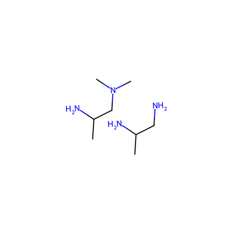 CC(N)CN.CC(N)CN(C)C